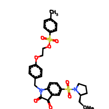 COC[C@@H]1CCCN1S(=O)(=O)c1ccc2c(c1)C(=O)C(=O)N2Cc1ccc(OCCOS(=O)(=O)c2ccc(C)cc2)cc1